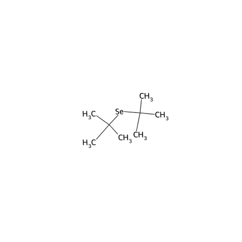 CC(C)(C)[Se]C(C)(C)C